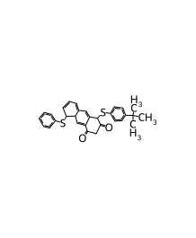 CC(C)(C)c1ccc(SC2C(=O)CC(=O)C3=CC4C(=CC=CC4Sc4ccccc4)C=C32)cc1